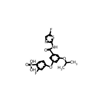 CC(C)Oc1cc(Oc2ccc(P(=O)(O)O)c(F)c2)cc(C(=O)Nc2ncc(F)s2)c1